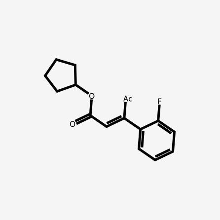 CC(=O)C(=CC(=O)OC1CCCC1)c1ccccc1F